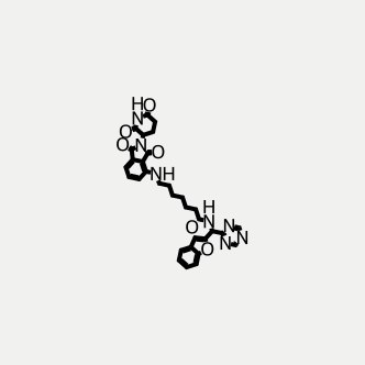 O=C1CCC(N2C(=O)c3cccc(NCCCCCCC(=O)NC(c4ncncn4)c4cc5ccccc5o4)c3C2=O)C(=O)N1